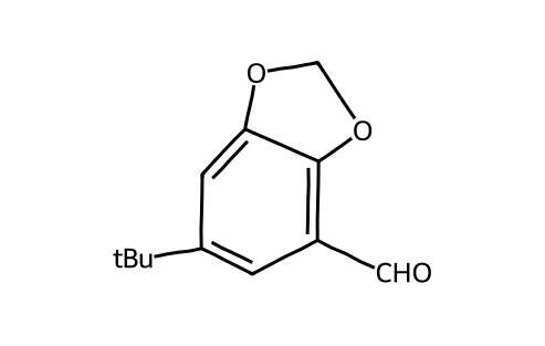 CC(C)(C)c1cc(C=O)c2c(c1)OCO2